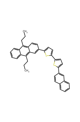 CCCc1c2ccccc2c(CCC)c2cc(-c3ccc(-c4ccc(-c5ccc6ccccc6c5)s4)s3)ccc12